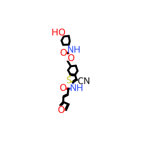 N#Cc1c(NC(=O)C=Cc2ccoc2)sc2c1CCC(COC(=O)NC1CCC(O)CC1)C2